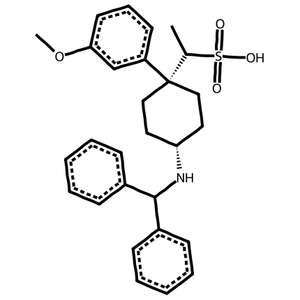 COc1cccc([C@]2(C(C)S(=O)(=O)O)CC[C@@H](NC(c3ccccc3)c3ccccc3)CC2)c1